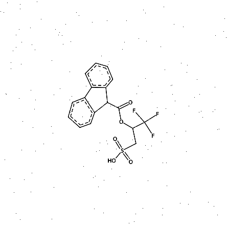 O=C(OC(CS(=O)(=O)O)C(F)(F)F)C1c2ccccc2-c2ccccc21